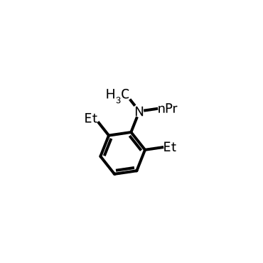 CCCN(C)c1c(CC)cccc1CC